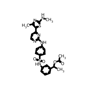 CNc1nc(C)c(-c2ccnc(Nc3ccc(S(=O)(=O)Nc4cccc(C(C)OC(C)=O)c4)cc3)n2)s1